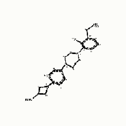 COC1CN(c2ncc(N3CCN(c4cccc(CN)c4F)CC3)cn2)C1